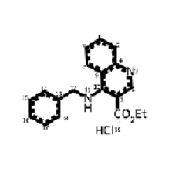 CCOC(=O)c1cnc2ccccc2c1NCc1ccccc1.Cl